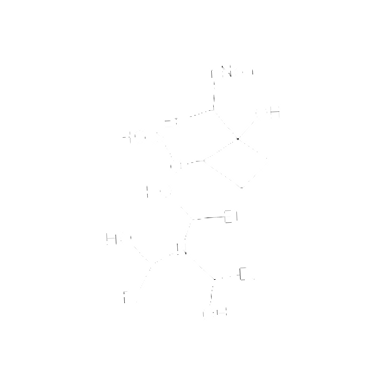 CCC(O)N(C(O)CC)C(O)CC.CCCCCCCCCC(CC)C1(O)CCC1OS(=O)(=O)O